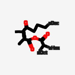 CCCCCCCCCCCCCC(=O)C(C)=C(C)C(=O)OC(=O)C(CCCCCC)CCCCCCCC